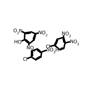 O=S(=O)(O)c1ccc(Cl)cc1.O=[N+]([O-])c1cc([N+](=O)[O-])c(O)c([N+](=O)[O-])c1.O=[N+]([O-])c1ccc(Cl)cc1[N+](=O)[O-]